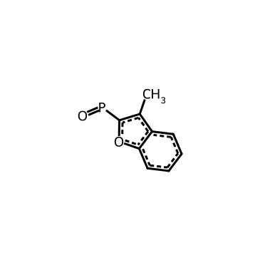 Cc1c(P=O)oc2ccccc12